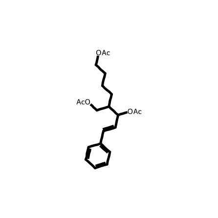 CC(=O)OCCCCC(COC(C)=O)C(C=Cc1ccccc1)OC(C)=O